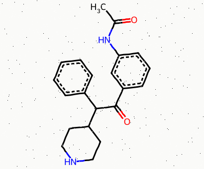 CC(=O)Nc1cccc(C(=O)C(c2ccccc2)C2CCNCC2)c1